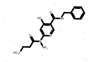 NN(C(=O)CCC(=O)O)c1cc(O)c(C(=O)NCc2ccccc2)cn1